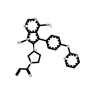 C=CC(=O)N1CC[C@H](c2c(-c3ccc(Oc4ncccn4)cc3)c3c(N)ncnc3n2CC)C1